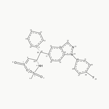 CS(=O)(=O)N[C@H](C=S(=O)=O)[C@H](c1ccccc1)c1ccc2c(cnn2-c2ccc(F)cc2)c1